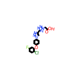 O=C(O)Cn1nnc(-c2cn(-c3ccc(Oc4cc(F)ccc4Cl)cc3)nn2)n1